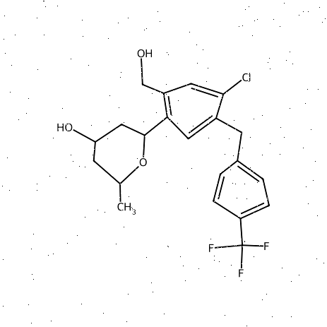 CC1CC(O)CC(c2cc(Cc3ccc(C(F)(F)F)cc3)c(Cl)cc2CO)O1